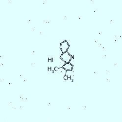 Cc1ccc2nc3ccccc3cc2c1C.I